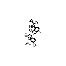 CCOc1cc(C(CS(C)(=O)=O)N2Cc3c(F)ccc(NC(=O)C4CC4)c3C2=O)ccc1OC